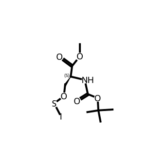 COC(=O)[C@H](COSI)NC(=O)OC(C)(C)C